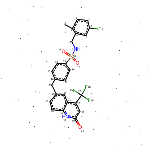 Cc1ccc(F)cc1CNS(=O)(=O)c1ccc(Cc2ccc3[nH]c(=O)cc(C(F)(F)F)c3c2)cc1